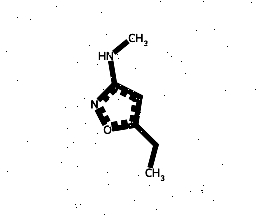 CCc1cc(NC)no1